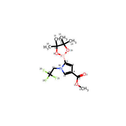 COC(=O)c1cc(B2OC(C)(C)C(C)(C)O2)n(CC(F)(F)F)c1